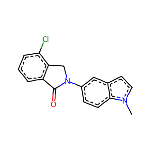 Cn1ccc2cc(N3Cc4c(Cl)cccc4C3=O)ccc21